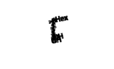 CCCCCCC(C)CCCCCCCCC(O)CO